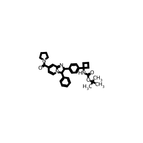 CC(C)(C)OC(=O)NC1(c2ccc(C3N=C4C=C(C(=O)N5CCCC5)C=CN4C3c3ccccc3)cc2)CCC1